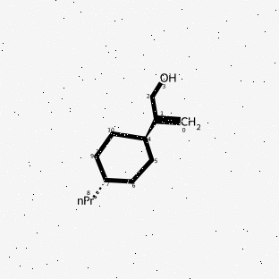 C=C(CO)[C@H]1CC[C@H](CCC)CC1